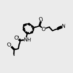 CC(=O)CC(=O)Nc1cccc(C(=O)OCCC#N)c1